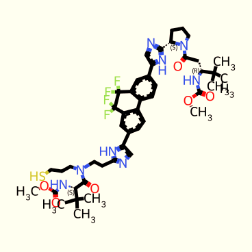 COC(=O)N[C@H](C(=O)N(CCCS)CCc1ncc(-c2ccc3c(c2)C(F)(F)C(F)(F)c2cc(-c4cnc([C@@H]5CCCN5C(=O)C[C@@H](NC(=O)OC)C(C)(C)C)[nH]4)ccc2-3)[nH]1)C(C)(C)C